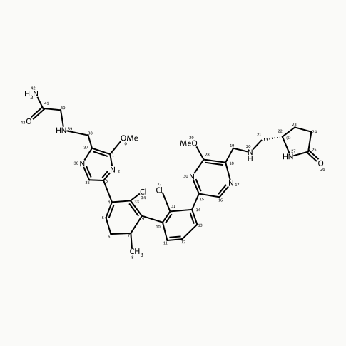 COc1nc(C2=CCC(C)C(c3cccc(-c4cnc(CNC[C@@H]5CCC(=O)N5)c(OC)n4)c3Cl)=C2Cl)cnc1CNCC(N)=O